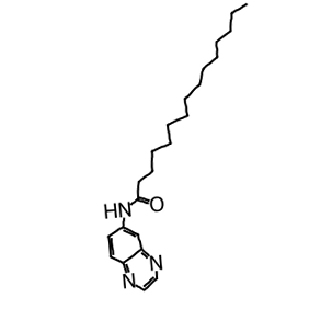 CCCCCCCCCCCCCCC(=O)Nc1ccc2nccnc2c1